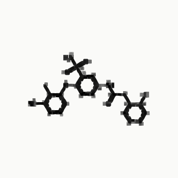 Cc1c(C#N)cccc1Oc1ccc(NC(=O)Cc2ccccc2Cl)cc1S(N)(=O)=O